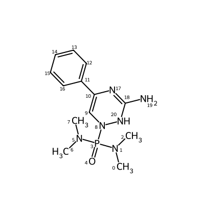 CN(C)P(=O)(N(C)C)N1C=C(c2ccccc2)N=C(N)N1